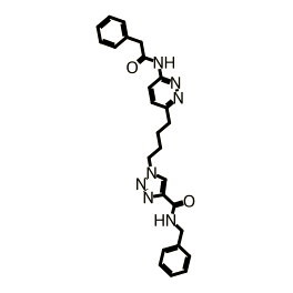 O=C(Cc1ccccc1)Nc1ccc(CCCCn2cc(C(=O)NCc3ccccc3)nn2)nn1